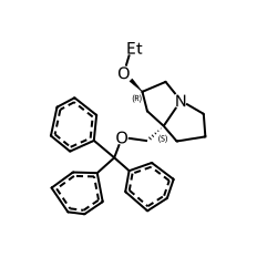 CCO[C@H]1CN2CCC[C@@]2(COC(c2ccccc2)(c2ccccc2)c2ccccc2)C1